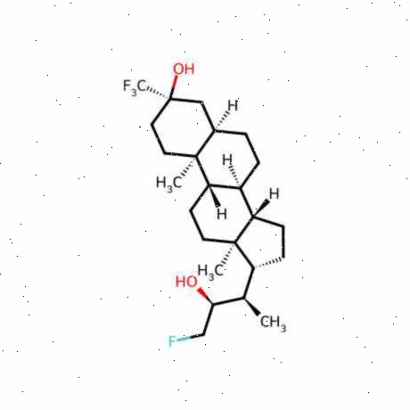 C[C@@H]([C@H](O)CF)[C@H]1CC[C@H]2[C@@H]3CC[C@@H]4C[C@@](O)(C(F)(F)F)CC[C@]4(C)[C@H]3CC[C@]12C